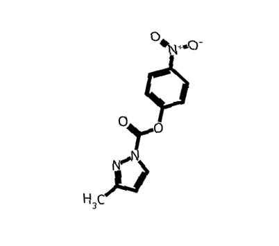 Cc1ccn(C(=O)Oc2ccc([N+](=O)[O-])cc2)n1